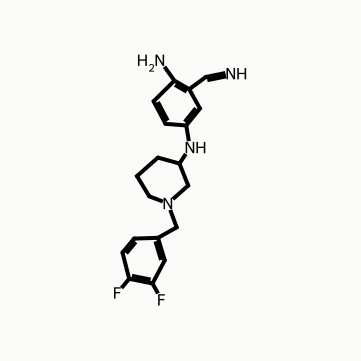 N=Cc1cc(NC2CCCN(Cc3ccc(F)c(F)c3)C2)ccc1N